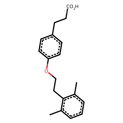 Cc1cccc(C)c1CCOc1ccc(CCC(=O)O)cc1